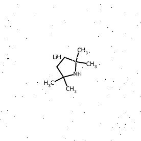 CC1(C)CCC(C)(C)N1.[LiH]